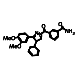 COc1ccc(C2=NN(C(=O)c3cccc(C(N)=O)c3)CC2c2ccccc2)cc1OC